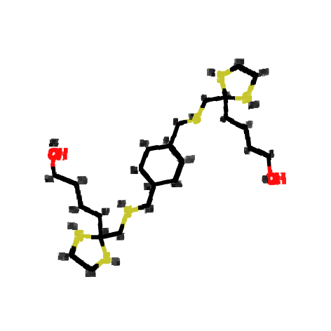 OCCCCC1(CSCC2CCC(CSCC3(CCCCO)SCCS3)CC2)SCCS1